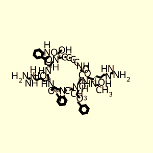 CC(=O)N[C@@H](CCCNC(=N)N)C(=O)N[C@H]1CC(=O)NCCCC[C@@H](C(=O)O)NC(=O)[C@H](Cc2c[nH]c3ccccc23)NC(O)[C@H](CCCNC(=N)N)NC(=O)[C@@H](Cc2ccccc2)NC[C@H](C)N(CCOCc2ccccc2)C1=O